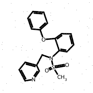 CS(=O)(=O)N(Cc1cccnc1)c1ccccc1Oc1ccccc1